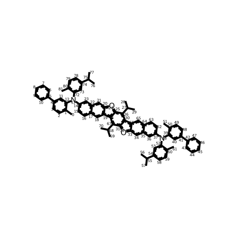 Cc1ccc(-c2ccccc2)cc1N(c1ccc2cc3c(cc2c1)oc1c(C(C)C)c2c(oc4cc5cc(N(c6cc(-c7ccccc7)ccc6C)c6cc(C(C)C)ccc6C)ccc5cc42)c(C(C)C)c13)c1cc(C(C)C)ccc1C